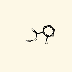 CCCCOC(=O)c1cccnc1Cl